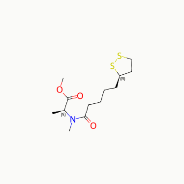 COC(=O)[C@H](C)N(C)C(=O)CCCC[C@@H]1CCSS1